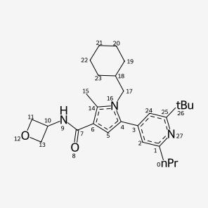 CCCc1cc(-c2cc(C(=O)NC3COC3)c(C)n2CC2CCCCC2)cc(C(C)(C)C)n1